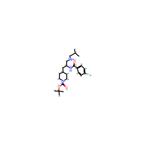 CC(C)CNCC(CC1CCN(C(=O)OC(C)(C)C)CC1)NC(=O)c1ccc(F)cc1